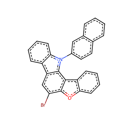 Brc1cc2c3ccccc3n(-c3ccc4ccccc4c3)c2c2c1oc1ccccc12